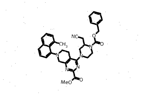 COC(=O)c1nc2c(c(N3CCN(C(=O)OCc4ccccc4)C(CC#N)C3)n1)CCN(c1cccc3cccc(C)c13)C2